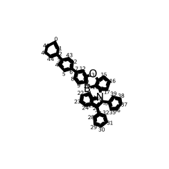 C1=CC(c2ccc(-c3ccc4c(c3)Oc3cccc5c3B4c3cccc4c(-c6ccccc6)c(-c6ccccc6)n-5c34)cc2)=CCC1